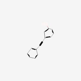 Oc1cccc(C#Cc2ccccc2)c1